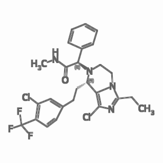 CCc1nc(Cl)c2n1CCN([C@@H](C(=O)NC)c1ccccc1)[C@H]2CCc1ccc(C(F)(F)F)c(Cl)c1